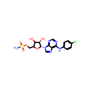 NS(=O)(=O)OCC1O[C@@H](n2cnc3c(Nc4ccc(Cl)cc4)ncnc32)[C@H](O)C1O